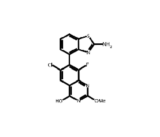 COc1nc(O)c2cc(Cl)c(-c3cccc4sc(N)nc34)c(F)c2n1